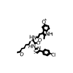 COc1ccc2[nH]c(C)c(CC(=O)N[C@@H](CCCCCC(C)=O)C(=O)Nc3nc(-c4ccc(Cl)cc4)cs3)c2c1